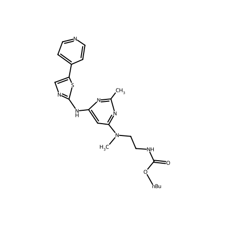 CCCCOC(=O)NCCN(C)c1cc(Nc2ncc(-c3ccncc3)s2)nc(C)n1